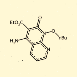 CCCCOn1c(=O)c(C(=O)OCC)c(N)c2cccnc21